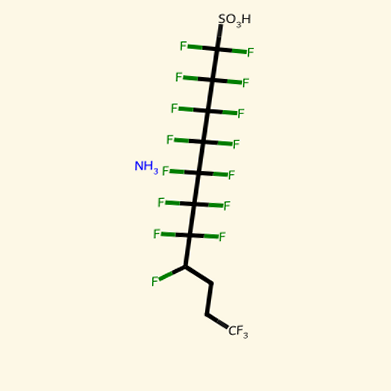 N.O=S(=O)(O)C(F)(F)C(F)(F)C(F)(F)C(F)(F)C(F)(F)C(F)(F)C(F)(F)C(F)CCC(F)(F)F